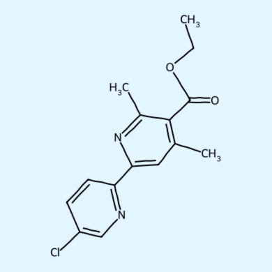 CCOC(=O)c1c(C)cc(-c2ccc(Cl)cn2)nc1C